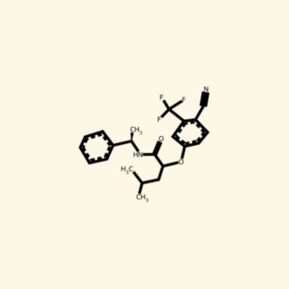 CC(C)CC(Oc1ccc(C#N)c(C(F)(F)F)c1)C(=O)N[C@H](C)c1ccccc1